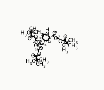 CC(C)(C)C(=O)OCOC(=O)[C@@H]1C[C@H](CP(=O)(OCOC(=O)C(C)(C)C)OCOC(=O)C(C)(C)C)CCN1